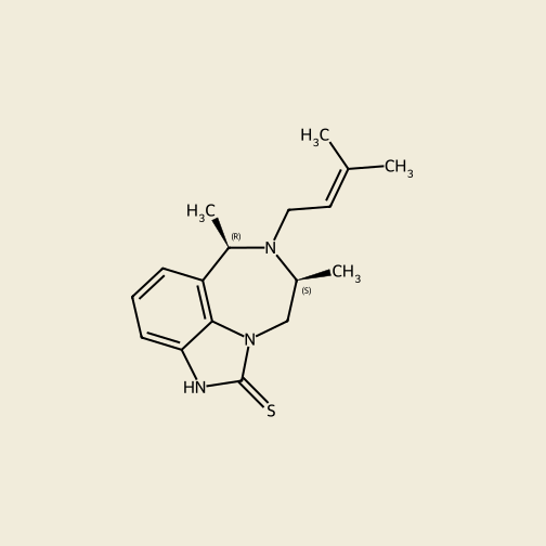 CC(C)=CCN1[C@H](C)c2cccc3[nH]c(=S)n(c23)C[C@@H]1C